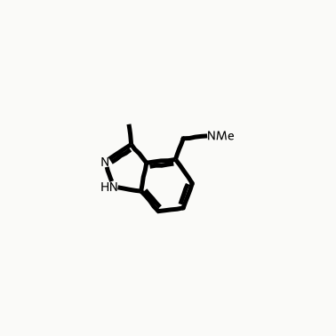 CNCc1cccc2[nH]nc(C)c12